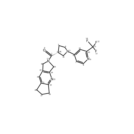 O=C([C@@H]1CCN(c2ccnc(C(F)(F)F)c2)C1)N1Cc2cc3c(nc2C1)CCC3